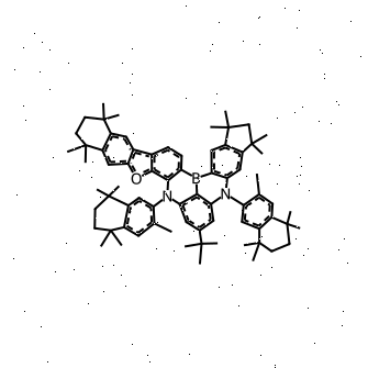 Cc1cc2c(cc1N1c3cc4c(cc3B3c5ccc6c(oc7cc8c(cc76)C(C)(C)CCC8(C)C)c5N(c5cc6c(cc5C)C(C)(C)CCC6(C)C)c5cc(C(C)(C)C)cc1c53)C(C)(C)CC4(C)C)C(C)(C)CCC2(C)C